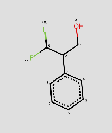 OCC(c1ccccc1)C(F)F